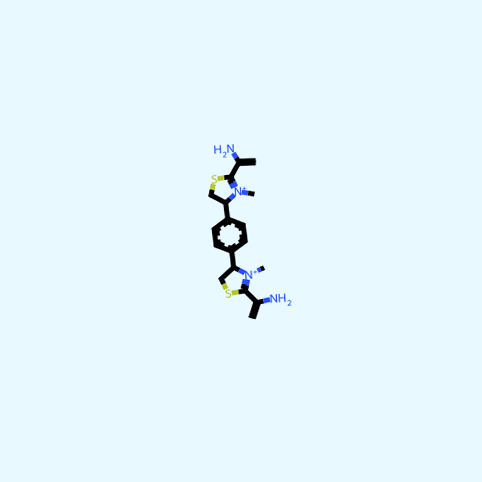 C=C(N)C1=[N+](C)C(c2ccc(C3CSC(C(=C)N)=[N+]3C)cc2)CS1